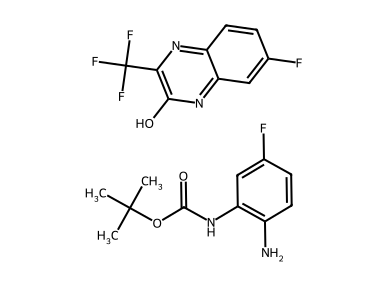 CC(C)(C)OC(=O)Nc1cc(F)ccc1N.Oc1nc2cc(F)ccc2nc1C(F)(F)F